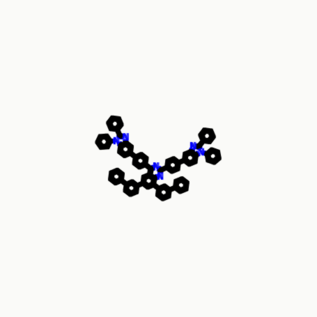 c1ccc(-c2cccc(-c3cc(-c4cccc(-c5ccccc5)c4)c4nc(-c5ccc(-c6ccc7c(c6)nc(-c6ccccc6)n7-c6ccccc6)cc5)nc(-c5ccc(-c6ccc7c(c6)nc(-c6ccccc6)n7-c6ccccc6)cc5)c4c3)c2)cc1